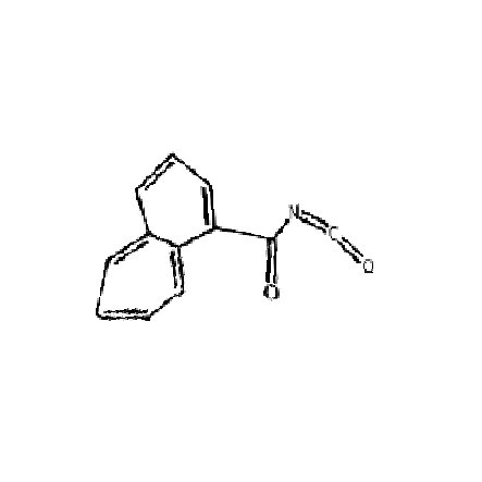 O=C=NC(=O)c1cccc2ccccc12